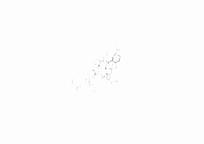 CC(=O)N[C@@H]1CC(N(C)C(C)C)CC[C@@H]1N1CC[C@H](Nc2nc(CCCN)nc3ccc(C(F)(F)F)cc23)C1=O